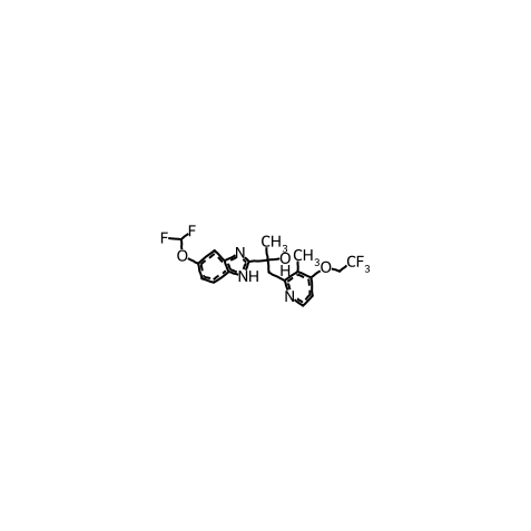 Cc1c(OCC(F)(F)F)ccnc1CC(C)(O)c1nc2cc(OC(F)F)ccc2[nH]1